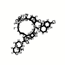 C[C@@H]1[C@@H](C)C/C=C/[C@@](O)(CC(=O)N2CCN3CCOC[C@@H]3C2)[C@@H]2CC[C@H]2CN2C[C@@]3(CCCc4cc(Cl)ccc43)COc3ccc(cc32)C(=O)NS1(=O)=O